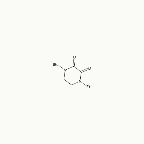 CCN1CCN(C(C)(C)C)C(=O)C1=O